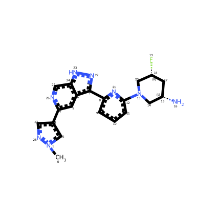 Cn1cc(-c2cc3c(-c4cccc(N5C[C@@H](N)C[C@@H](F)C5)n4)n[nH]c3cn2)cn1